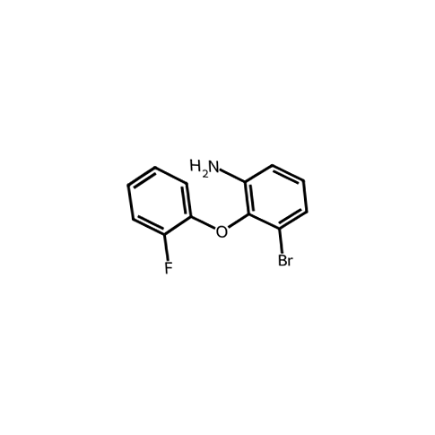 Nc1cccc(Br)c1Oc1ccccc1F